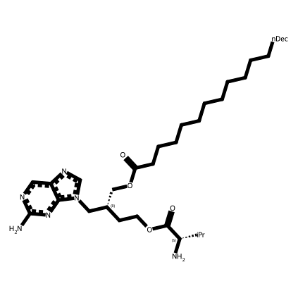 CCCCCCCCCCCCCCCCCCCCCC(=O)OC[C@H](CCOC(=O)[C@@H](N)C(C)C)Cn1cnc2cnc(N)nc21